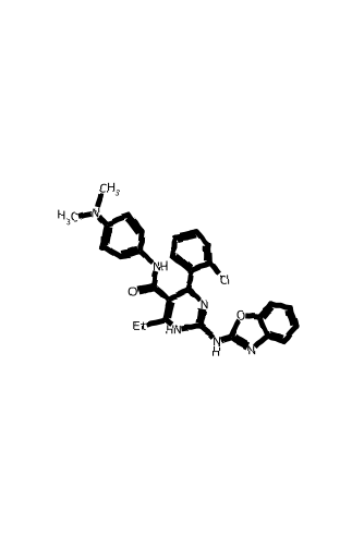 CCC1=C(C(=O)Nc2ccc(N(C)C)cc2)C(c2ccccc2Cl)N=C(Nc2nc3ccccc3o2)N1